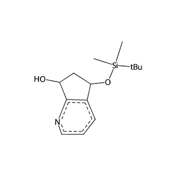 CC(C)(C)[Si](C)(C)OC1CC(O)c2ncccc21